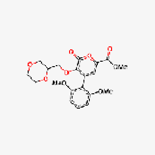 COC(=O)c1cc(-c2c(OC)cccc2OC)c(OCC2COCCO2)c(=O)o1